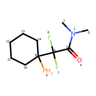 CN(C)C(=O)C(F)(F)C1(P)CCCCC1